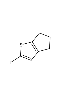 Ic1cc2c(s1)CCC2